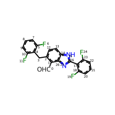 O=Cc1c(Cc2c(F)cccc2F)ccc2[nH]c(-c3c(F)cccc3F)nc12